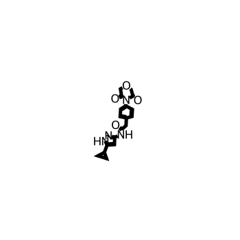 O=C(Cc1ccc(N2C(=O)COCC2=O)cc1)Nc1cc(C2CC2)[nH]n1